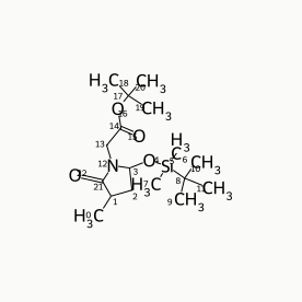 CC1CC(O[Si](C)(C)C(C)(C)C)N(CC(=O)OC(C)(C)C)C1=O